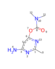 Cc1nc(N)cc(OC(=O)N(C)C)n1